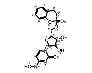 O=c1nc(NO)ccn1[C@@H]1O[C@H](COP2(=O)OCc3ccccc3O2)[C@H](O)C1O